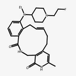 CCN(c1cccc2c1C/C=C/CCc1cc(C)[nH]c(=O)c1CNC2=O)C1CCN(CCF)CC1